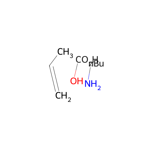 C=CC.CCCCN.O=C(O)O